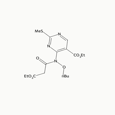 CCCCON(C(=O)CC(=O)OCC)c1nc(SC)ncc1C(=O)OCC